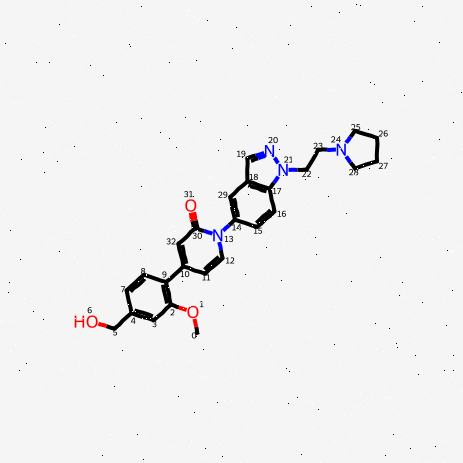 COc1cc(CO)ccc1-c1ccn(-c2ccc3c(cnn3CCN3CCCC3)c2)c(=O)c1